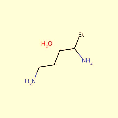 CCC(N)CCCN.O